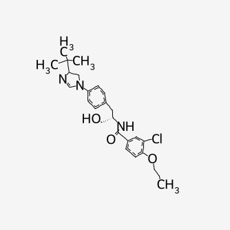 CCCOc1ccc(C(=O)N[C@H](CO)Cc2ccc(N3C=NC(C(C)(C)C)C3)cc2)cc1Cl